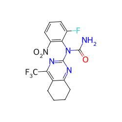 NC(=O)N(c1nc2c(c(C(F)(F)F)n1)CCCC2)c1c(F)cccc1[N+](=O)[O-]